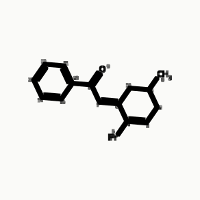 CC1CC=C(C(C)C)C(=CC(=O)c2ccccc2)C1